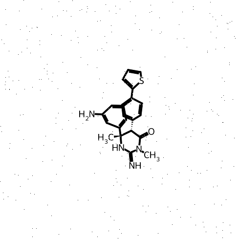 CN1C(=N)N[C@](C)(c2cccc(N)c2)[C@H](c2ccc(-c3cccs3)cc2)C1=O